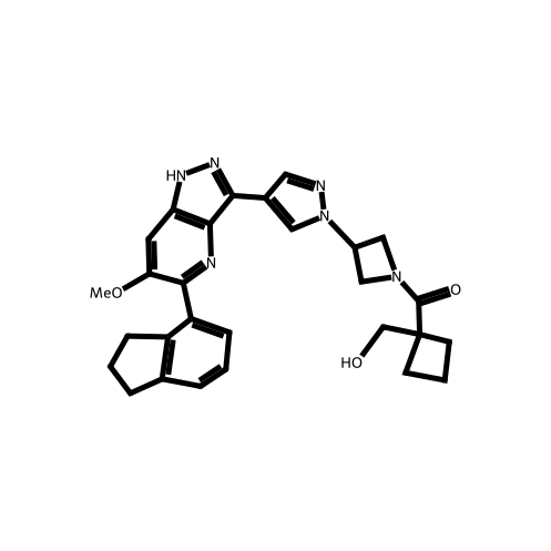 COc1cc2[nH]nc(-c3cnn(C4CN(C(=O)C5(CO)CCC5)C4)c3)c2nc1-c1cccc2c1CCC2